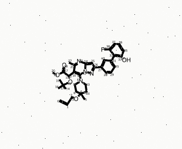 C=CCOC1(C)CCN(c2c([C@H](OC(C)(C)C)C(=O)OC)c(C)nc3cc(-c4cccc(-c5c(O)cccc5F)c4)nn23)CC1